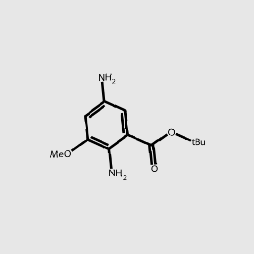 COc1cc(N)cc(C(=O)OC(C)(C)C)c1N